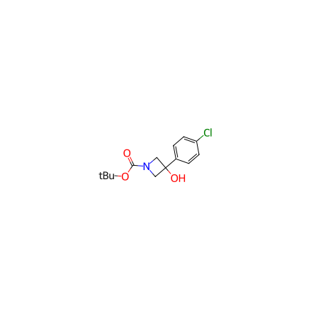 CC(C)(C)OC(=O)N1CC(O)(c2ccc(Cl)cc2)C1